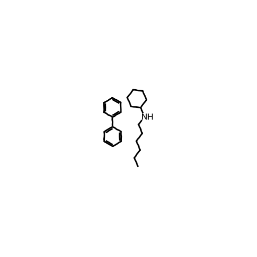 CCCCCCNC1CCCCC1.c1ccc(-c2ccccc2)cc1